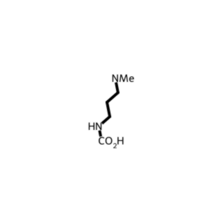 CNCCCNC(=O)O